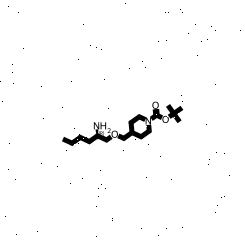 CCCC[C@@H](N)COCC1CCN(C(=O)OC(C)(C)C)CC1